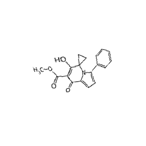 COC(=O)C1=C(O)C2(CC2)n2c(ccc2-c2ccccc2)C1=O